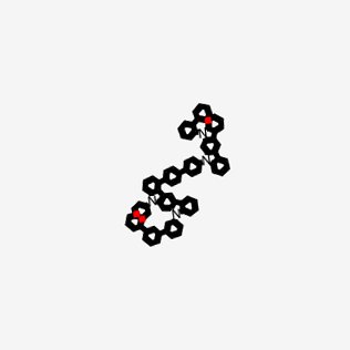 c1ccc(-c2cccc(-c3cccc(-n4c5ccccc5c5cc6c7c(-c8ccc(-c9ccc(-n%10c%11ccccc%11c%11cc%12c%13ccccc%13n(-c%13ccccc%13-c%13ccccc%13)c%12cc%11%10)cc9)cc8)cccc7n(-c7ccccc7)c6cc54)c3)c2)cc1